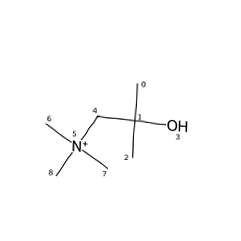 CC(C)(O)C[N+](C)(C)C